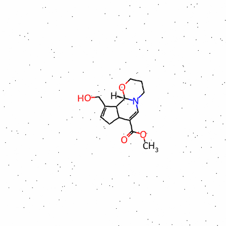 COC(=O)C1=CN2CCCO[C@H]2C2C(CO)=CCC12